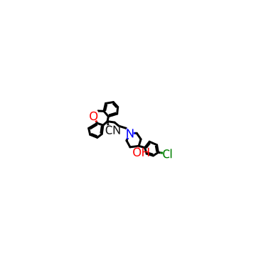 N#CC1(CCCN2CCC(O)(c3ccc(Cl)cc3)CC2)c2ccccc2COc2ccccc21